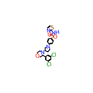 O=S(=O)(Nc1nccs1)c1ccc(N2CC[C@H](N3CCOCC3c3cc(Cl)cc(Cl)c3)C2)cc1